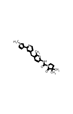 Cc1nc(NC(=O)N2CCC(C)(C)C2=O)ccc1Cc1ccnc(-c2ccn(C)c2)c1